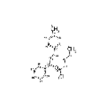 CCCCCCl.Cc1ccc(C=CC(=O)c2ccccc2)cc1